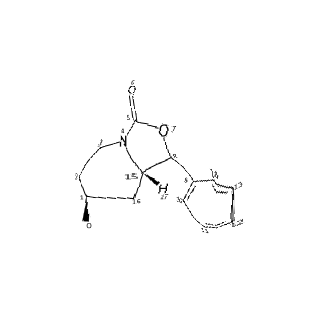 C[C@H]1CCN2C(=O)OC(c3ccccc3)[C@@H]2C1